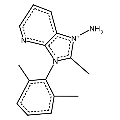 Cc1cccc(C)c1-n1c(C)[n+](N)c2cccnc21